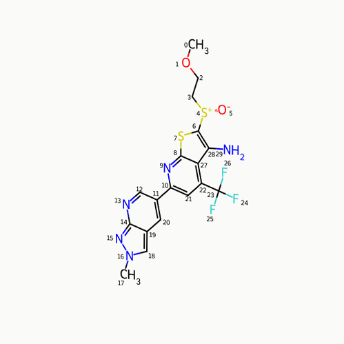 COCC[S@+]([O-])c1sc2nc(-c3cnc4nn(C)cc4c3)cc(C(F)(F)F)c2c1N